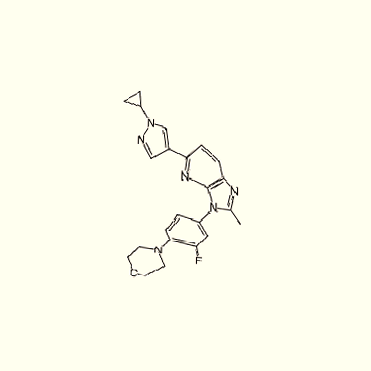 Cc1nc2ccc(-c3cnn(C4CC4)c3)nc2n1-c1ccc(N2CCOCC2)c(F)c1